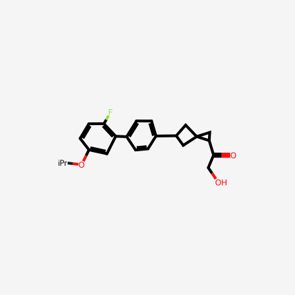 CC(C)Oc1ccc(F)c(-c2ccc(C3CC4(C3)CC4C(=O)CO)cc2)c1